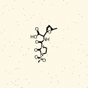 Cc1ccc(C(NC(=O)N2CCN(S(C)(=O)=O)C2=O)C(=O)O)o1